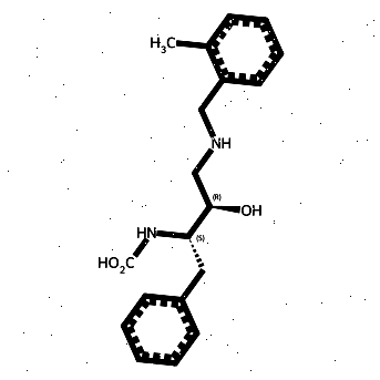 Cc1ccccc1CNC[C@@H](O)[C@H](Cc1ccccc1)NC(=O)O